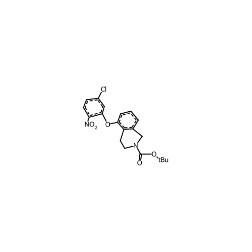 CC(C)(C)OC(=O)N1CCc2c(cccc2Oc2cc(Cl)ccc2[N+](=O)[O-])C1